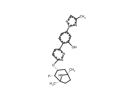 Cc1cnn(-c2ccc(-c3ccc(O[C@@H]4C[C@@]5(C)CC[C@](C)(N5)[C@@H]4F)nn3)c(O)c2)n1